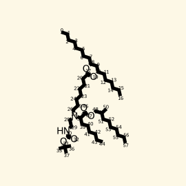 CCCCCCCCC(CCCCCCCC)OC(=O)CCCCCCCN(CCNC(=O)OC(C)(C)C)C(CCCCCC)C(=O)OCC(C)CCCCCCC